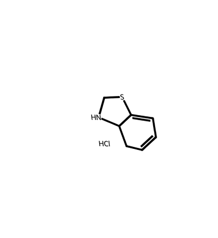 C1=CCC2NCSC2=C1.Cl